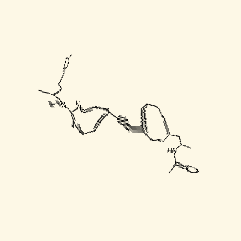 COCC(C)Nc1ncc(C#Cc2ccc(CC(C)NC(C)=O)cc2)cn1